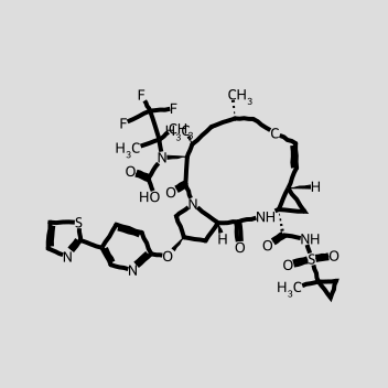 C[C@@H]1CCC=C[C@@H]2C[C@@]2(C(=O)NS(=O)(=O)C2(C)CC2)NC(=O)[C@@H]2C[C@@H](Oc3ccc(-c4nccs4)cn3)CN2C(=O)[C@@H](N(C(=O)O)C(C)(C)C(F)(F)F)[C@H](C)C1